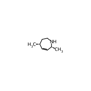 C[C@@H]1C=C[C@H](C)NCC1